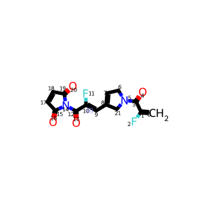 C=C(F)C(=O)N1CC=C(/C=C(\F)C(=O)N2C(=O)C=CC2=O)C1